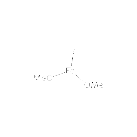 C[O][Fe]([CH3])[O]C